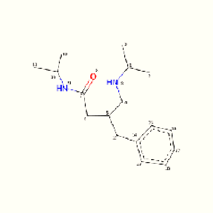 CC(C)NCC(CC(=O)NC(C)C)Cc1ccccc1